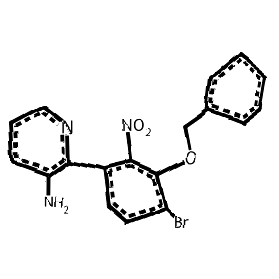 Nc1cccnc1-c1ccc(Br)c(OCc2ccccc2)c1[N+](=O)[O-]